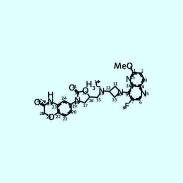 COc1ccc2ncc(F)c(N3CC(N(C)CC4CN(c5ccc6c(c5)NC(=O)CO6)C(=O)O4)C3)c2n1